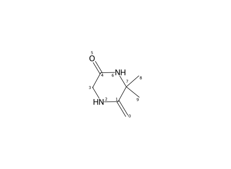 C=C1NCC(=O)NC1(C)C